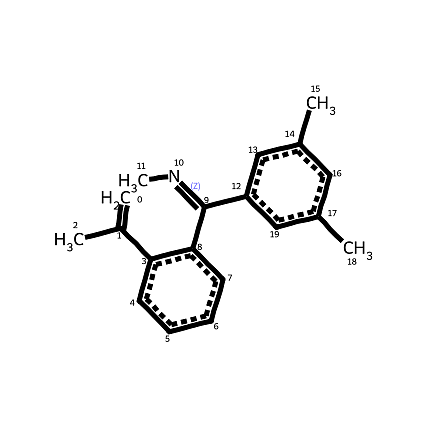 C=C(C)c1ccccc1/C(=N\C)c1cc(C)cc(C)c1